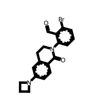 O=Cc1c(Br)cccc1N1CCc2cc(N3CCC3)ccc2C1=O